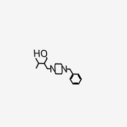 CC(C)C(CO)CN1CCN(Cc2ccccc2)CC1